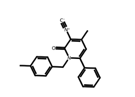 [C-]#[N+]c1c(C)cc(-c2ccccc2)n(Cc2ccc(C)cc2)c1=O